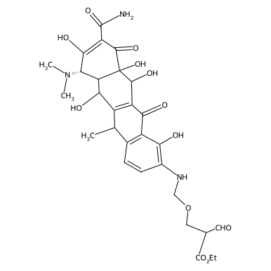 CCOC(=O)C(C=O)COCNc1ccc2c(c1O)C(=O)C1=C(C2C)C(O)C2[C@H](N(C)C)C(O)=C(C(N)=O)C(=O)C2(O)C1O